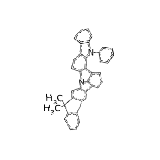 CC1(C)c2ccccc2-c2cc3c4cccc5c6c7c(ccc6n(c3cc21)c45)c1ccccc1n7-c1ccccc1